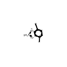 Cc1ccc(C)cc1.O=[PH2]O